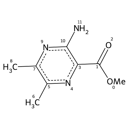 COC(=O)c1nc(C)c(C)nc1N